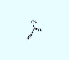 [CH]=C(C)C#N